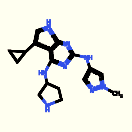 Cn1cc(Nc2nc(NC3CCNC3)c3c(C4CC4)c[nH]c3n2)cn1